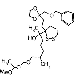 COC(C)OCOCC(C)CCCC(C)(O)C1(CCC2(COCc3ccccc3)OCCO2)CCCSS1